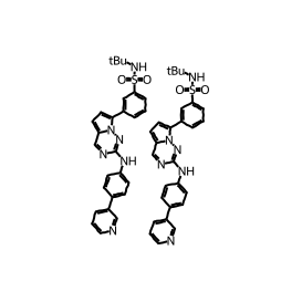 CC(C)(C)NS(=O)(=O)c1cccc(-c2ccc3cnc(Nc4ccc(-c5cccnc5)cc4)nn23)c1.CC(C)(C)NS(=O)(=O)c1cccc(-c2ccc3cnc(Nc4ccc(-c5cccnc5)cc4)nn23)c1